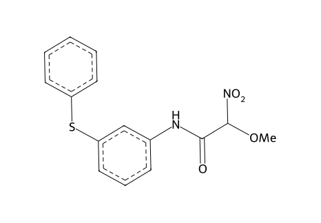 COC(C(=O)Nc1cccc(Sc2ccccc2)c1)[N+](=O)[O-]